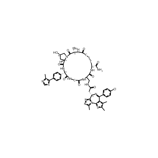 Cc1ncsc1-c1ccc([C@@H]2NC(=O)[C@@H]3C[C@@H](O)CN3C(=O)[C@H](C(C)(C)C)NC(=O)CSC[C@H](C(N)=O)NC(=O)C(CNC(=O)C[C@@H]3N=C(c4ccc(Cl)cc4)c4c(sc(C)c4C)-n4c(C)nnc43)NC(=O)CNC2=O)cc1